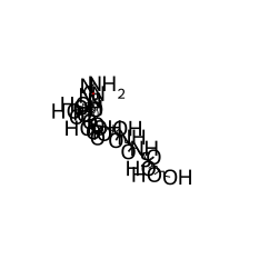 CC(C)(COP(=O)(O)OP(=O)(O)OC[C@H]1O[C@@H](n2cnc3c(N)ncnc32)[C@H](O)[C@@H]1OP(=O)(O)O)C(O)C(=O)NCCC(=O)NCCSC(=O)C(O)CC(O)CCO